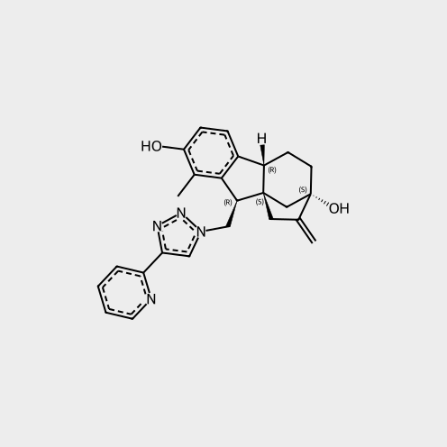 C=C1C[C@]23C[C@@]1(O)CC[C@H]2c1ccc(O)c(C)c1[C@@H]3Cn1cc(-c2ccccn2)nn1